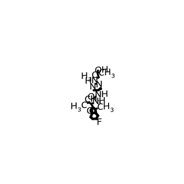 Cc1c(C(NC(=O)Nc2cnc(NCC(C)(C)O)nc2)C(C)C)oc2ccc(F)cc12